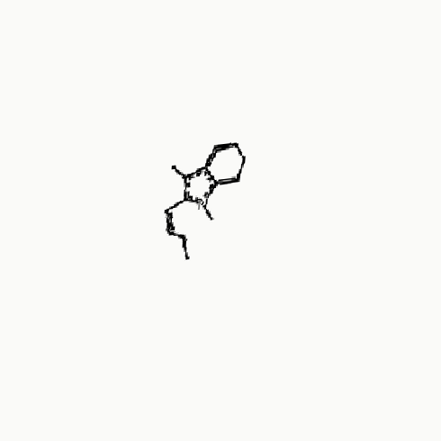 CC/C=C\c1c(C)c2c(n1C)=CCC=C=2